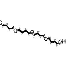 O=CCCCOCCCCOCCCCOCCCCO